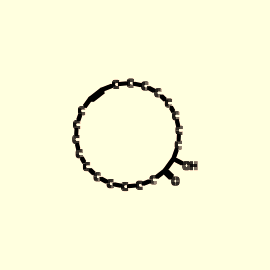 O=C1CCCCCCCCCCC=CCCCCCCCCC1O